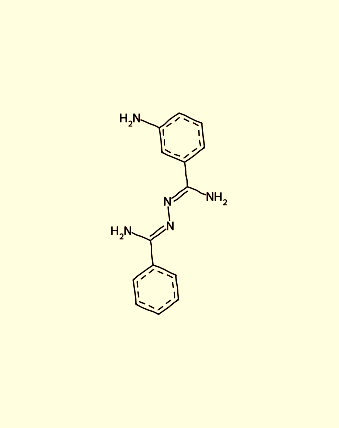 N/C(=N\N=C(/N)c1cccc(N)c1)c1ccccc1